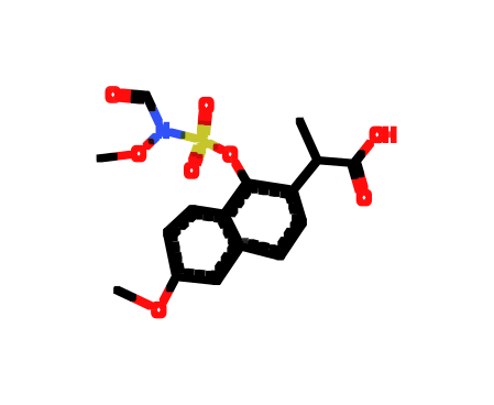 COc1ccc2c(OS(=O)(=O)N(C=O)OC)c(C(C)C(=O)O)ccc2c1